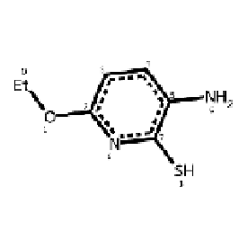 CCOc1ccc(N)c(S)n1